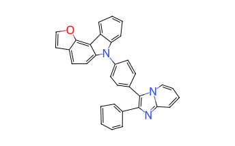 c1ccc(-c2nc3ccccn3c2-c2ccc(-n3c4ccccc4c4c5occc5ccc43)cc2)cc1